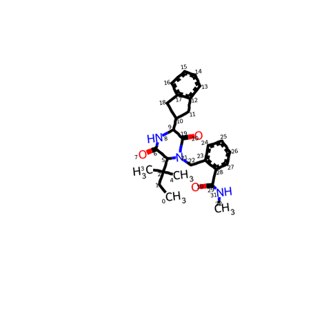 CCC(C)(C)C1C(=O)NC(C2Cc3ccccc3C2)C(=O)N1Cc1ccccc1C(=O)NC